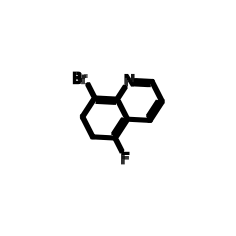 FC1=c2cccnc2=C(Br)CC1